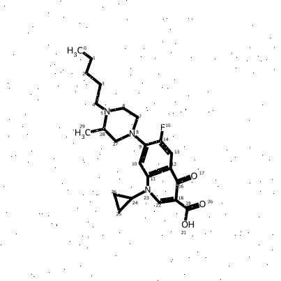 CCCCCN1CCN(c2cc3c(cc2F)c(=O)c(C(=O)O)cn3C2CC2)CC1C